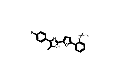 Cc1[nH]c(-c2ccc(-c3ccccc3OC(F)(F)F)o2)nc1-c1ccc(F)cc1